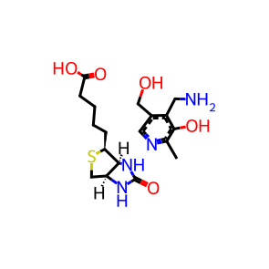 Cc1ncc(CO)c(CN)c1O.O=C(O)CCCC[C@@H]1SC[C@@H]2NC(=O)N[C@@H]21